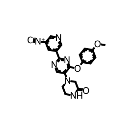 [C-]#[N+]c1cncc(-c2ncc(N3CCNC(=O)C3)c(Oc3ccc(OC)cc3)n2)c1